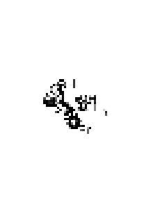 CCC(SO)[n+]1c(C=C2Sc3ccsc3N2CC(=O)O)sc2ccc(Br)cc21